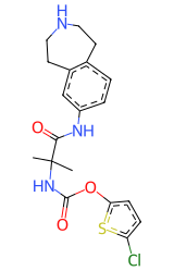 CC(C)(NC(=O)Oc1ccc(Cl)s1)C(=O)Nc1ccc2c(c1)CCNCC2